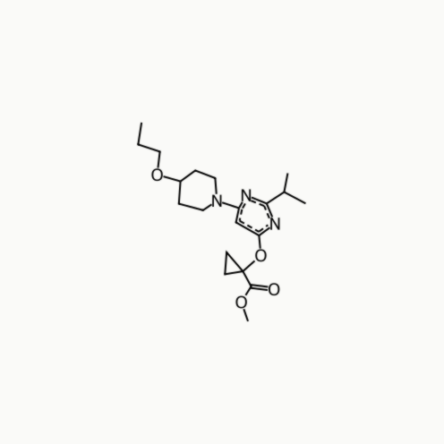 CCCOC1CCN(c2cc(OC3(C(=O)OC)CC3)nc(C(C)C)n2)CC1